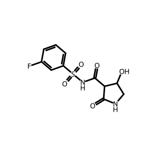 O=C1NCC(O)C1C(=O)NS(=O)(=O)c1cccc(F)c1